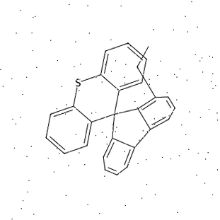 CCc1cccc2c1C1(c3ccccc3Sc3ccccc31)c1ccccc1-2